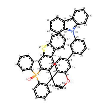 O=P1(c2ccccc2)c2ccccc2C2(c3ccccc3Oc3cc(-c4cccc(-n5c6ccccc6c6ccccc65)c4)ccc32)c2cc3c(cc21)sc1ccccc13